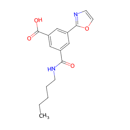 CCCCCNC(=O)c1cc(C(=O)O)cc(-c2ncco2)c1